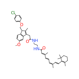 COc1ccc2c(c1)C(CC(=O)NCCNC(=O)/C=C(C)/C=C/C=C(C)\C=C\C1=C(C)CCCC1(C)C)=C(C)C2COc1ccc(Cl)cc1